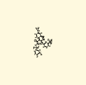 Cc1ccc(C(F)(F)CNC(=O)c2c(Oc3cccc(C(F)(F)F)c3)nnc3cc(C4CC4)ccc23)cc1C